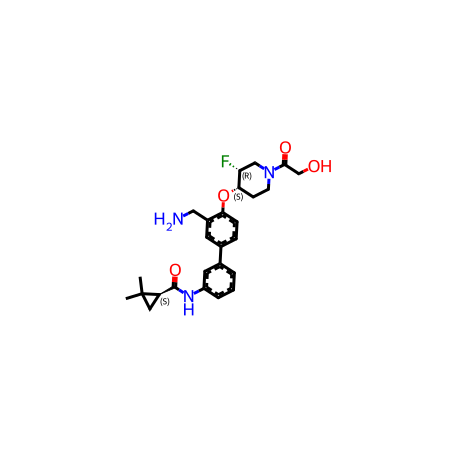 CC1(C)C[C@@H]1C(=O)Nc1cccc(-c2ccc(O[C@H]3CCN(C(=O)CO)C[C@H]3F)c(CN)c2)c1